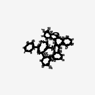 c1ccc(-c2ncc(-n3c4ccccc4c4c5ccccc5c5oc6ccccc6c5c43)c(-c3ccccc3)n2)cc1